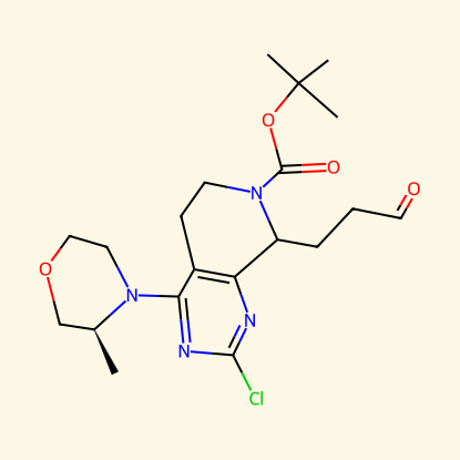 C[C@H]1COCCN1c1nc(Cl)nc2c1CCN(C(=O)OC(C)(C)C)C2CCC=O